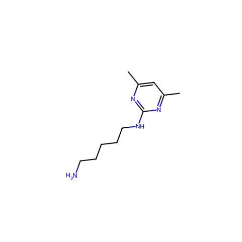 Cc1cc(C)nc(NCCCCCN)n1